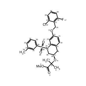 COC(=O)C(C)(C)O[C@@H]1Cc2ccc(OCc3c(F)cccc3Cl)cc2N(S(=O)(=O)c2cccc(C)c2)C1